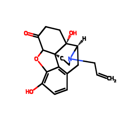 C=CCN1CC[C@]23c4c5ccc(O)c4OC2C(=O)CC[C@@]3(O)[C@H]1C5